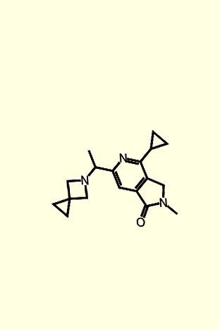 CC(c1cc2c(c(C3CC3)n1)CN(C)C2=O)N1CC2(CC2)C1